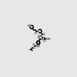 CC(C)COC(=O)Nc1ccc(C(=O)N[C@@H](CC(=O)O)NC(=O)[C@@H]2CCCN(C(=O)CCC3CCNCC3)C2)cc1